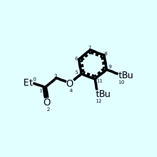 CCC(=O)COc1cccc(C(C)(C)C)c1C(C)(C)C